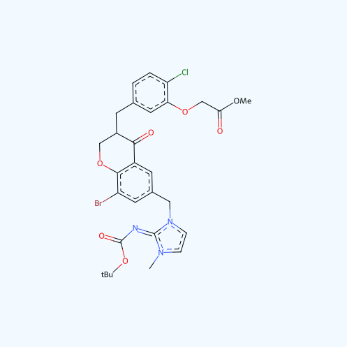 COC(=O)COc1cc(CC2COc3c(Br)cc(Cn4ccn(C)c4=NC(=O)OC(C)(C)C)cc3C2=O)ccc1Cl